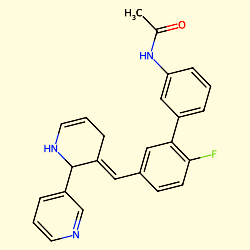 CC(=O)Nc1cccc(-c2cc(C=C3CC=CNC3c3cccnc3)ccc2F)c1